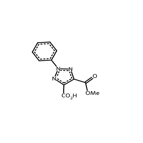 COC(=O)c1nn(-c2ccccc2)nc1C(=O)O